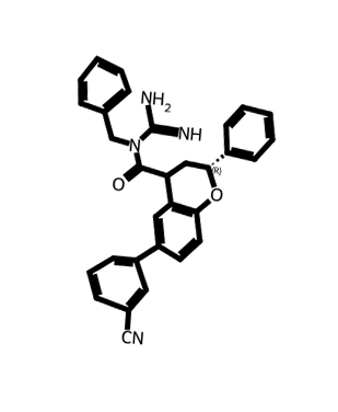 N#Cc1cccc(-c2ccc3c(c2)C(C(=O)N(Cc2ccccc2)C(=N)N)C[C@H](c2ccccc2)O3)c1